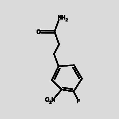 NC(=O)CCc1ccc(F)c([N+](=O)[O-])c1